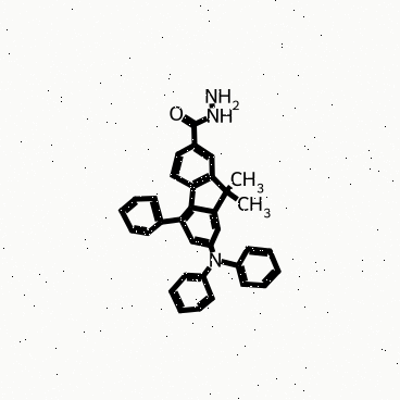 CC1(C)c2cc(C(=O)NN)ccc2-c2c(-c3ccccc3)cc(N(c3ccccc3)c3ccccc3)cc21